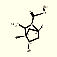 CC(C)(C)OC(=O)N1C(C(=O)O)[C@@H]2C[C@H]1C[C@H]2O